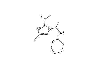 Cc1cn(C(C)NC2CCCCC2)c(C(C)C)n1